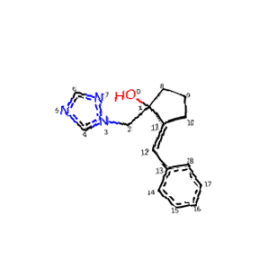 OC1(Cn2cncn2)CCCC1=Cc1ccccc1